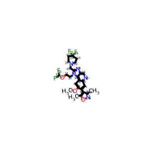 COc1cc2c(cc1-c1c(C)noc1C)ncc1nc(CN3CCC(F)(F)CC3)n(CCOC(F)F)c12